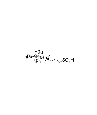 CCCC[N+](CCCC)(CCCC)CCCC.C[Si](C)(C)CCCS(=O)(=O)O